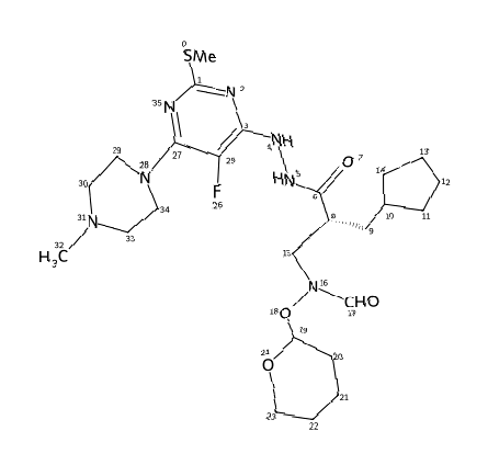 CSc1nc(NNC(=O)[C@H](CC2CCCC2)CN(C=O)OC2CCCCO2)c(F)c(N2CCN(C)CC2)n1